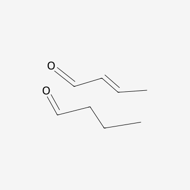 C/C=C/C=O.CCCC=O